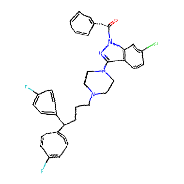 O=C(c1ccccc1)n1nc(N2CCN(CCCC(c3ccc(F)cc3)c3ccc(F)cc3)CC2)c2ccc(Cl)cc21